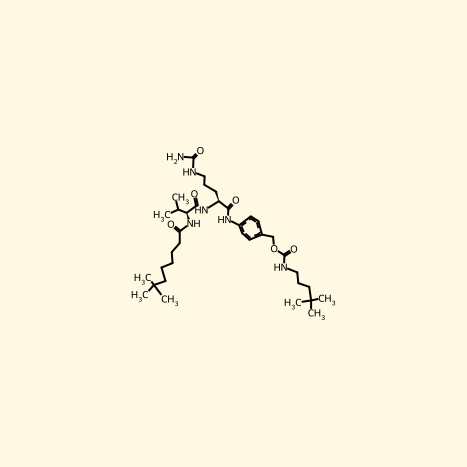 CC(C)[C@H](NC(=O)CCCCCC(C)(C)C)C(=O)N[C@@H](CCCNC(N)=O)C(=O)Nc1ccc(COC(=O)NCCCC(C)(C)C)cc1